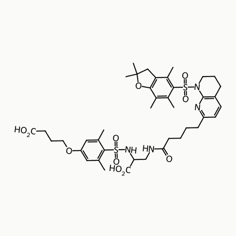 Cc1cc(OCCCC(=O)O)cc(C)c1S(=O)(=O)NC(CNC(=O)CCCCc1ccc2c(n1)N(S(=O)(=O)c1c(C)c(C)c3c(c1C)CC(C)(C)O3)CCC2)C(=O)O